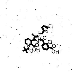 Cc1c(C2CCCN(C(=O)C(C)(C)C)C2C(=O)O)nn(C(=O)c2cccc(C(=O)O)c2Cl)c1SCc1ccc(Cl)s1